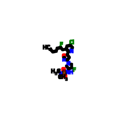 C#C/C=C\C=C(\F)Cc1cc(Cl)cnc1C1CC(N2C[C@H](F)[C@H](NS(=O)(=O)N(C)C)C2)=NO1